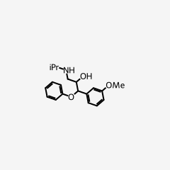 COc1cccc(C(Oc2ccccc2)C(O)CNC(C)C)c1